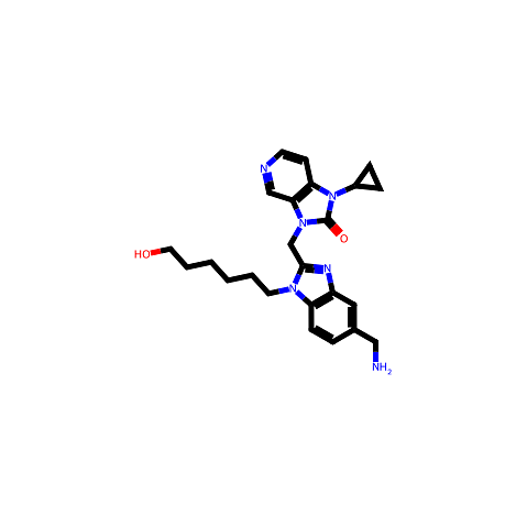 NCc1ccc2c(c1)nc(Cn1c(=O)n(C3CC3)c3ccncc31)n2CCCCCCO